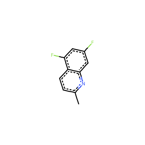 Cc1ccc2c(F)cc(F)cc2n1